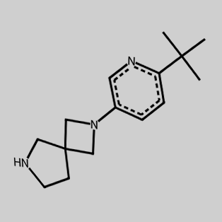 CC(C)(C)c1ccc(N2CC3(CCNC3)C2)cn1